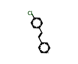 Clc1ccc(/C=C/c2cc[c]cc2)cc1